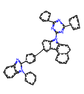 c1ccc(-c2nc(-c3ccccc3)nc(-n3c4ccc(-c5ccc(-c6nc7ccccc7n6-c6ccccc6)cc5)cc4c4c5ccccc5ccc43)n2)cc1